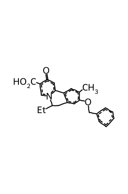 CCC1Cc2cc(OCc3ccccc3)c(C)cc2-c2cc(=O)c(C(=O)O)cn21